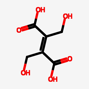 O=C(O)/C(CO)=C(\CO)C(=O)O